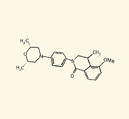 COc1cccc2c1C(C)CN(c1ccc(N3C[C@@H](C)O[C@@H](C)C3)cc1)C2=O